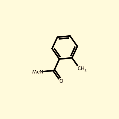 CNC(=O)c1ccccc1C